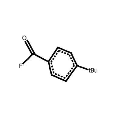 CC(C)(C)c1ccc(C(=O)F)cc1